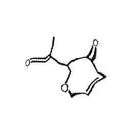 CC(=O)C1OC=CC1=O